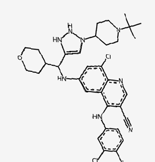 CC(C)(C)N1CCC(N2C=C(C(Nc3cc(Cl)c4ncc(C#N)c(Nc5ccc(F)c(Cl)c5)c4c3)C3CCOCC3)NN2)CC1